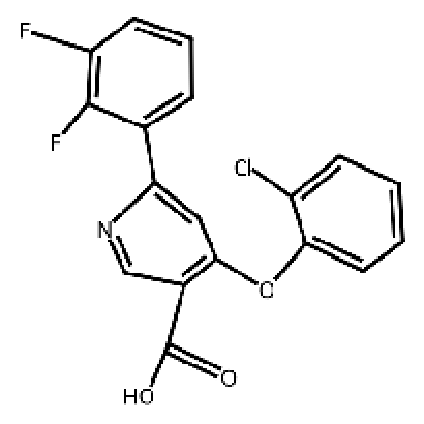 O=C(O)c1cnc(-c2cccc(F)c2F)cc1Oc1ccccc1Cl